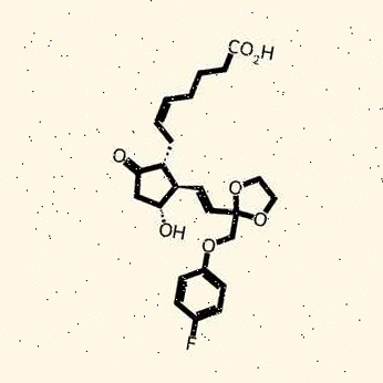 O=C(O)CCC/C=C\C[C@H]1C(=O)C[C@@H](O)[C@@H]1/C=C/C1(COc2ccc(F)cc2)OCCO1